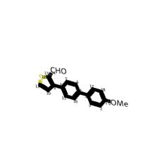 COc1ccc(-c2ccc(-c3ccsc3C=O)cc2)cc1